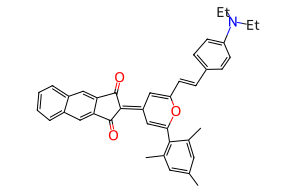 CCN(CC)c1ccc(C=CC2=CC(=C3C(=O)c4cc5ccccc5cc4C3=O)C=C(c3c(C)cc(C)cc3C)O2)cc1